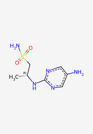 C[C@H](CS(N)(=O)=O)Nc1ncc(N)cn1